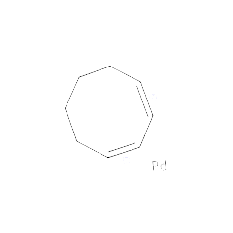 C1=C\CCCC\C=C/1.[Pd]